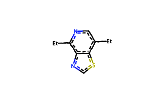 CCc1ncc(CC)c2scnc12